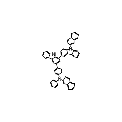 c1ccc(N(c2ccc(-c3cc(-c4ccc5c(c4)c4ccccc4n5-c4ccc5ccccc5c4)c4[nH]c5ccccc5c4c3)cc2)c2ccc3ccccc3c2)cc1